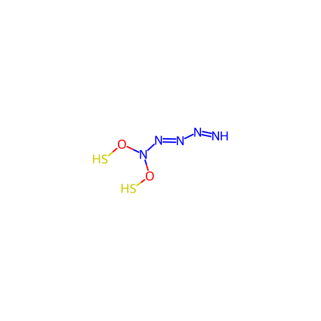 N=N/N=N/N(OS)OS